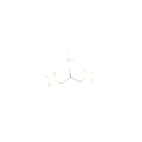 O=S(=O)([O-])CC(F)CS(=O)(=O)[O-].[Na+].[Na+]